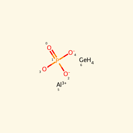 O=P([O-])([O-])[O-].[Al+3].[GeH4]